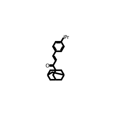 CC(C)c1ccc(C=CC(=O)C23CC4CC(CC(C4)C2)C3)cc1